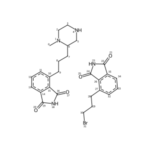 CN1CCNCC1CCCc1cccc2c1C(=O)NC2=O.O=C1NC(=O)c2c(CCCBr)cccc21